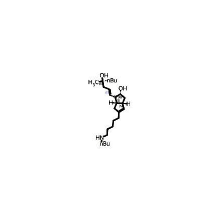 CCCCNCCCCCC1=C[C@H]2C[C@@H](O)[C@H](/C=C/C[C@@](C)(O)CCCC)[C@H]2C1